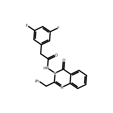 CC(C)Cc1nc2ccccc2c(=O)n1NC(=O)Cc1cc(F)cc(F)c1